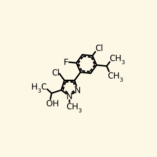 CC(C)c1cc(-c2nn(C)c(C(C)O)c2Cl)c(F)cc1Cl